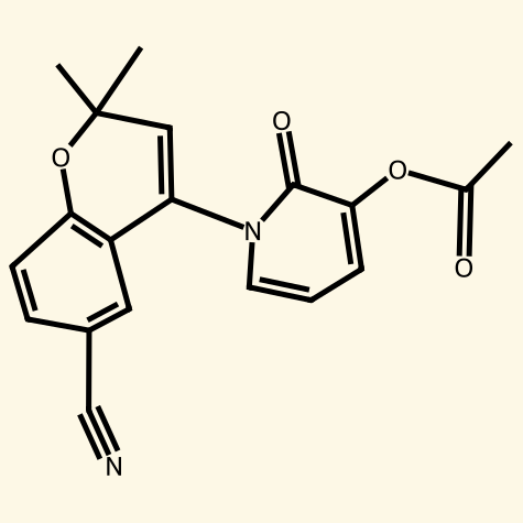 CC(=O)Oc1cccn(C2=CC(C)(C)Oc3ccc(C#N)cc32)c1=O